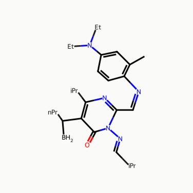 BC(CCC)c1c(C(C)C)nc(/C=N\c2ccc(N(CC)CC)cc2C)n(/N=C/C(C)C)c1=O